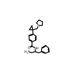 NCC(Cc1ccccc1)NC(=O)c1ccc(C2(CN3CCCC3)CC2)cc1